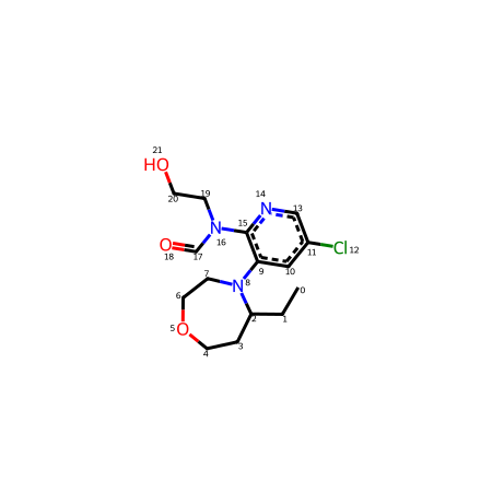 CCC1CCOCCN1c1cc(Cl)cnc1N(C=O)CCO